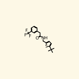 CC(C)(C)c1ccc(CNC(=O)Cc2cccc(C(F)(F)F)c2)s1